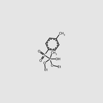 CCOP(C)(O)(OCC)S(=O)(=O)c1ccc(C)cc1